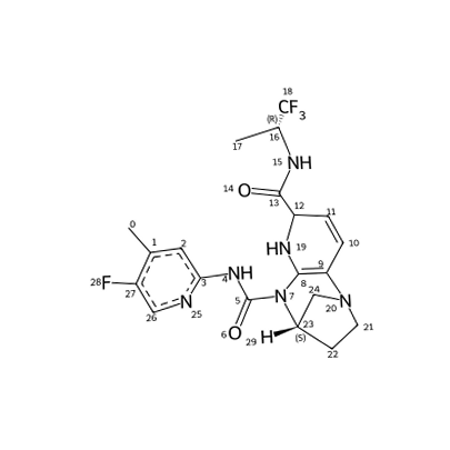 Cc1cc(NC(=O)N2C3=C(C=CC(C(=O)N[C@H](C)C(F)(F)F)N3)N3CC[C@H]2C3)ncc1F